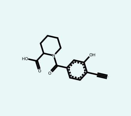 [C]#Cc1ccc(C(=O)N2CCCCC2C(=O)O)cc1O